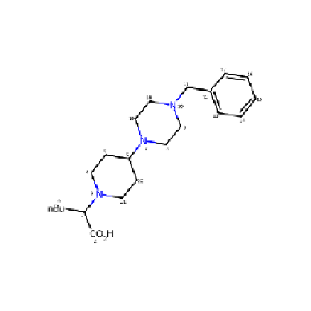 CCCCC(C(=O)O)N1CCC(N2CCN(Cc3ccccc3)CC2)CC1